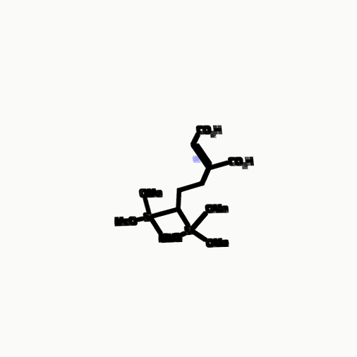 CO[Si](OC)(OC)C(CC/C(=C/C(=O)O)C(=O)O)[Si](OC)(OC)OC